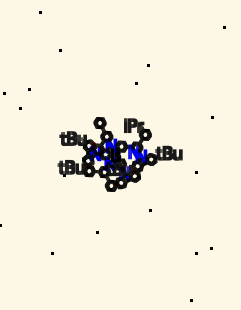 CC(C)c1cccc(-c2cc(-c3ccc4c(c3)B3c5ccc(-n6c7ccccc7c7ccccc76)cc5N(c5cc(-c6ccccc6)cc(-c6ccccc6)c5)c5cc(-n6c7ccc(C(C)(C)C)cc7c7cc(C(C)(C)C)ccc76)cc(c53)N4c3ccc(-c4ccccc4)cc3-c3ccccc3)nc(-n3c4cc(C(C)(C)C)ccc4c4ccc(C(C)(C)C)cc43)c2)c1